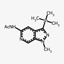 CC(=O)Nc1cc2[c]([Sn]([CH3])([CH3])[CH3])nn(C)c2cn1